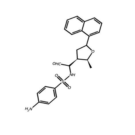 C[C@@H]1OC(c2cccc3ccccc23)C[C@@H]1C(C=O)NS(=O)(=O)c1ccc(N)cc1